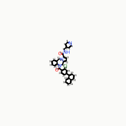 O=C(NCc1ccncc1)c1ccc2n1Cc1ccccc1N(C(=O)c1ccc(-c3cccc4ccccc34)cc1Cl)C2